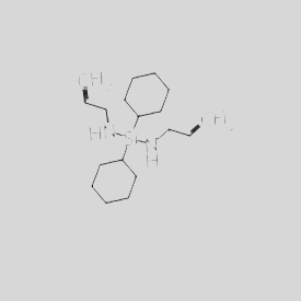 C=CCN[Si](NCC=C)(C1CCCCC1)C1CCCCC1